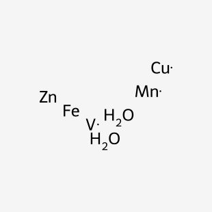 O.O.[Cu].[Fe].[Mn].[V].[Zn]